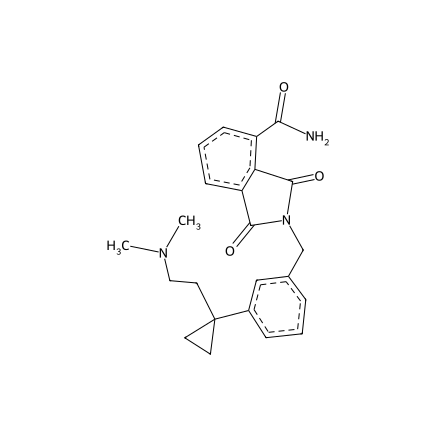 CN(C)CCC1(c2cccc(CN3C(=O)c4cccc(C(N)=O)c4C3=O)c2)CC1